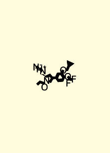 CCC(=O)N1CC(c2ccc(OC(F)F)c(OCC3CC3)c2)C[C@H]1CN=[N+]=[N-]